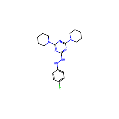 Clc1ccc(NNc2nc(N3CCCCC3)nc(N3CCCCC3)n2)cc1